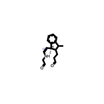 CC1c2ccccc2[C@](C)(/C=C\NCC=O)C1CCC=O